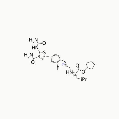 CC(C)C[C@H](NC/C=C/c1ccc(-c2cc(C(N)=O)c(NC(N)=O)s2)cc1F)C(=O)OC1CCCC1